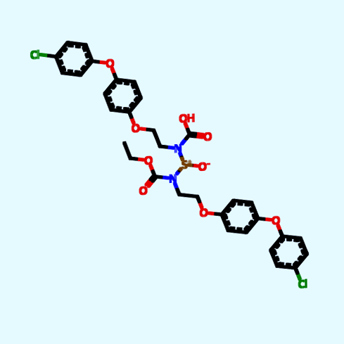 CCOC(=O)N(CCOc1ccc(Oc2ccc(Cl)cc2)cc1)[S+]([O-])N(CCOc1ccc(Oc2ccc(Cl)cc2)cc1)C(=O)O